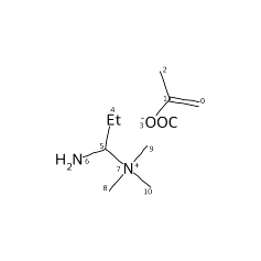 C=C(C)C(=O)[O-].CCC(N)[N+](C)(C)C